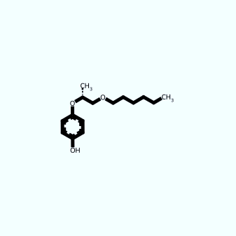 CCCCCCOC[C@@H](C)Oc1ccc(O)cc1